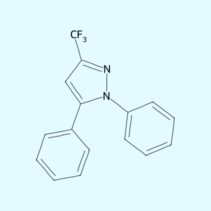 FC(F)(F)c1cc(-c2ccccc2)n(-c2ccccc2)n1